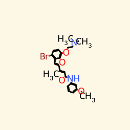 COc1cccc(NC(=O)C=C(C)c2cc3c(Br)ccc(OCCN(C)C)c3o2)c1